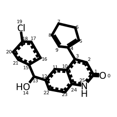 O=c1cc(C2=CCCC=C2)c2cc(C(O)c3ccc(Cl)cc3)ccc2[nH]1